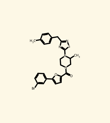 Cc1ccc(Cc2nsc(N3CCN(C(=O)c4ccc(-c5cccc(Br)c5)o4)CC3C)n2)cc1